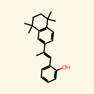 C/C(=C\c1ccccc1O)c1ccc2c(c1)C(C)(C)CCC2(C)C